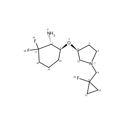 N[C@@H]1[C@@H](O[C@H]2CCN(CC3(F)CC3)C2)CCCC1(F)F